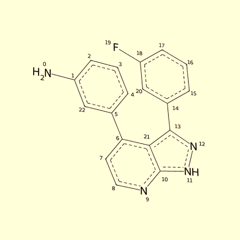 Nc1cccc(-c2ccnc3[nH]nc(-c4cccc(F)c4)c23)c1